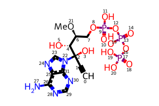 C#C[C@@](O)([C@H](O)[C@H](COP(=O)(O)OP(=O)(O)OP(=O)(O)O)OC)n1cnc2c(N)ncnc21